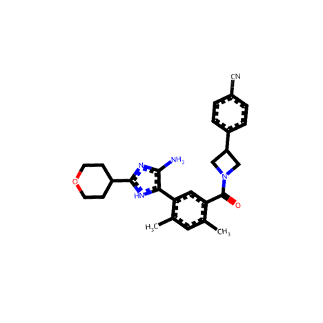 Cc1cc(C)c(-c2[nH]c(C3CCOCC3)nc2N)cc1C(=O)N1CC(c2ccc(C#N)cc2)C1